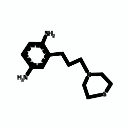 Nc1ccc(N)c(CCCN2CCSCC2)c1